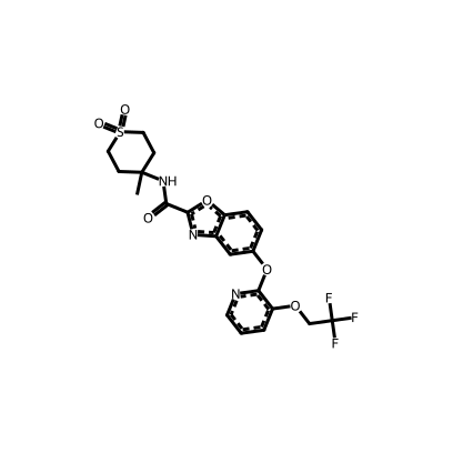 CC1(NC(=O)c2nc3cc(Oc4ncccc4OCC(F)(F)F)ccc3o2)CCS(=O)(=O)CC1